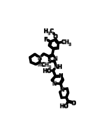 COc1c(C)cc(-c2nc(NC(O)c3cnc(N4CCC(C(=O)O)CC4)cn3)sc2CN2CCCC[C@H]2C)cc1F